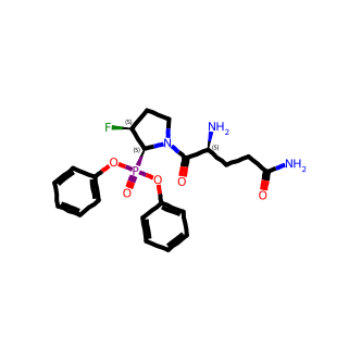 NC(=O)CC[C@H](N)C(=O)N1CC[C@H](F)[C@@H]1P(=O)(Oc1ccccc1)Oc1ccccc1